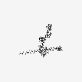 CCCCCCCCCCCCC/C=C/[C@@H](OC(=O)NCCCN(CCCCN(CCCNC(=O)C(F)(F)F)C(=O)C(F)(F)F)C(=O)C(F)(F)F)[C@H](COC(=O)NCCCCCCO[Si](C)(C)C(C)(C)C)NC(=O)C(F)(F)F